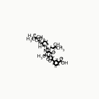 CC(C)=CCn1c(N2CCCC(NC(=O)OC(C)(C)C)C2)nc2c1c(=O)n(CC(=O)c1cccc(C(=O)O)c1)c(=O)n2C